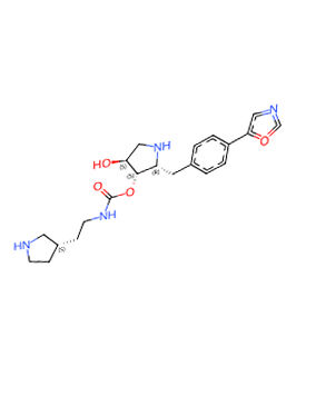 O=C(NCC[C@@H]1CCNC1)O[C@@H]1[C@@H](O)CN[C@@H]1Cc1ccc(-c2cnco2)cc1